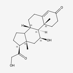 C[C@]12CCC(=O)C=C1CC[C@H]1C3CC[C@H](C(=O)CO)[C@@]3(C)C[C@H](O)[C@@H]12